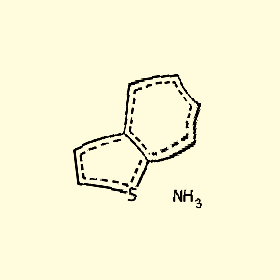 N.c1ccc2sccc2c1